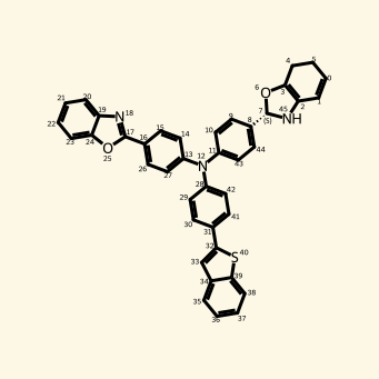 C1=CC2=C(CC1)O[C@@H](c1ccc(N(c3ccc(-c4nc5ccccc5o4)cc3)c3ccc(-c4cc5ccccc5s4)cc3)cc1)N2